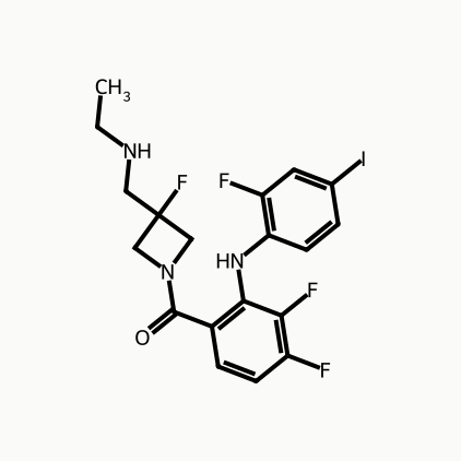 CCNCC1(F)CN(C(=O)c2ccc(F)c(F)c2Nc2ccc(I)cc2F)C1